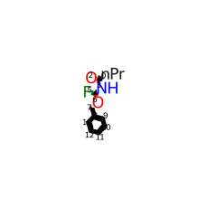 CCCC(=O)NC(F)OCc1ccccc1